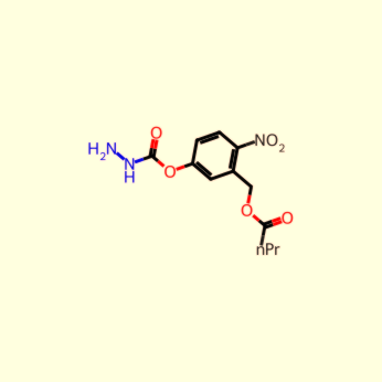 CCCC(=O)OCc1cc(OC(=O)NN)ccc1[N+](=O)[O-]